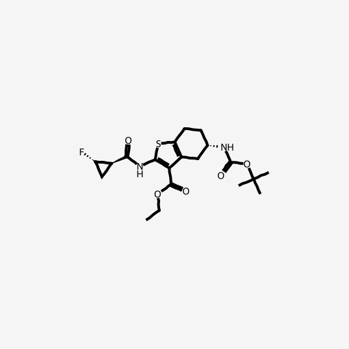 CCOC(=O)c1c(NC(=O)[C@H]2C[C@@H]2F)sc2c1C[C@@H](NC(=O)OC(C)(C)C)CC2